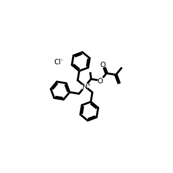 C=C(C)C(=O)OC(C)[N+](Cc1ccccc1)(Cc1ccccc1)Cc1ccccc1.[Cl-]